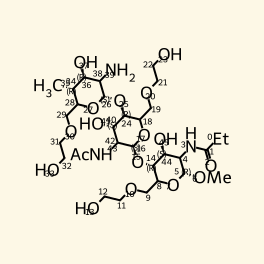 CCC(=O)NC1[C@H](OC)OC(COCCO)[C@H](O[C@@H]2OC(COCCO)[C@H](O[C@@H]3OC(COCCO)[C@H](C)[C@@H](O)C3N)[C@@H](O)C2NC(C)=O)[C@H]1O